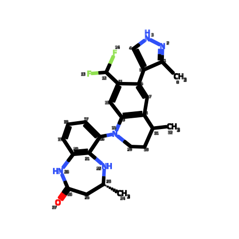 Cc1n[nH]cc1-c1cc2c(cc1C(F)F)N(c1cccc3c1N[C@H](C)CC(=O)N3)CCC2C